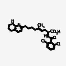 C/C(=C\C[C@H](NC(=O)c1c(Cl)cccc1Cl)C(=O)O)CCCCc1ccc2c(n1)NCCC2